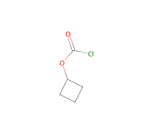 O=C(Cl)OC1CCC1